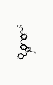 CC(C)(C)c1nc2cc(Sc3ccnc(OCC(F)(F)F)c3)ccc2n1CC1CCOCC1